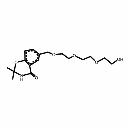 CC1(C)NC(=O)c2cc(COCCOCCOCCO)ccc2O1